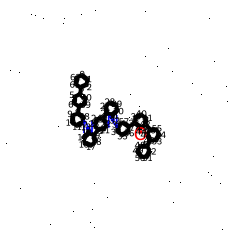 c1ccc(-c2ccc(-c3cccc(-n4c5ccccc5c5cc6c(cc54)c4ccccc4n6-c4cccc(-c5cccc6c5oc5c(-c7ccccc7)cccc56)c4)c3)cc2)cc1